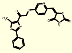 Cc1oc(-c2ccccc2)nc1C(=O)COc1ccc(C=C2SC(=O)NC2=O)nc1